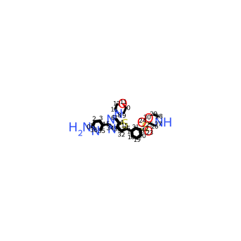 Nc1ccc(-c2nc(N3CCOCC3)c3sc(-c4cccc(S(=O)(=O)C5CNCCO5)c4)cc3n2)cn1